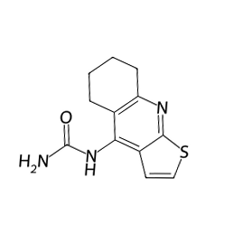 NC(=O)Nc1c2c(nc3sccc13)CCCC2